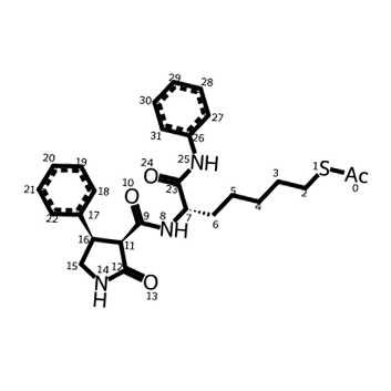 CC(=O)SCCCCC[C@H](NC(=O)[C@H]1C(=O)NC[C@H]1c1ccccc1)C(=O)Nc1ccccc1